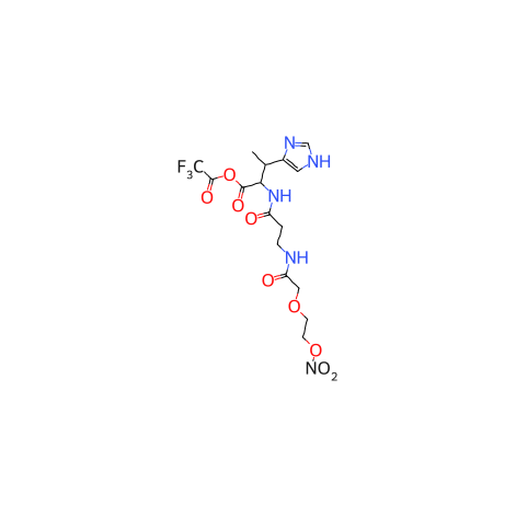 CC(c1c[nH]cn1)C(NC(=O)CCNC(=O)COCCO[N+](=O)[O-])C(=O)OC(=O)C(F)(F)F